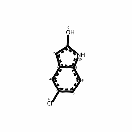 Oc1cc2cc(Cl)ccc2[nH]1